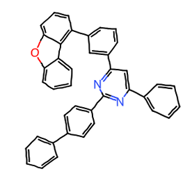 c1ccc(-c2ccc(-c3nc(-c4ccccc4)cc(-c4cccc(-c5cccc6oc7ccccc7c56)c4)n3)cc2)cc1